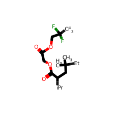 CCC(C)(C)CC(C(=O)OCC(=O)OCC(F)(F)C(F)(F)F)C(C)C